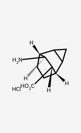 Cl.N[C@@H]1[C@@H](C(=O)O)[C@H]2CC[C@@H]1C1CC12